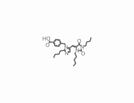 CCCCCN1C(=O)N(CCCC)C(=O)/C1=C/c1cnc(CCCC)n1Cc1ccc(C(=O)O)cc1